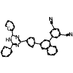 N#Cc1cc(C#N)cc(-c2cc(-c3ccc(C4=NC(c5ccccc5)NC(c5ccccc5)=N4)cc3)cc3ccccc23)c1